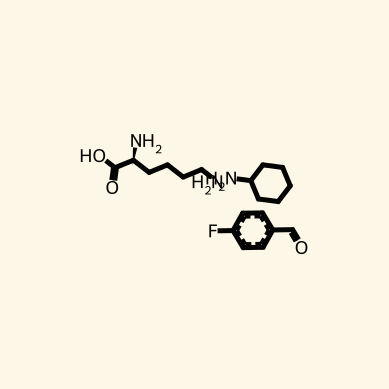 NC1CCCCC1.NCCCC[C@H](N)C(=O)O.O=Cc1ccc(F)cc1